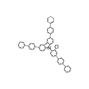 Clc1cc(-c2ccc(-c3ccccc3)cc2)ccc1-n1c2ccc(-c3ccc(C4=CCCC=C4)cc3)cc2c2cc(-c3ccc(-c4ccccc4)cc3)ccc21